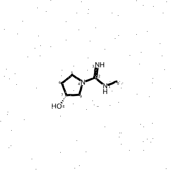 CNC(=N)N1CC[C@@H](O)C1